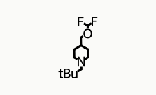 CC(C)(C)CN1CCC(COC(F)F)CC1